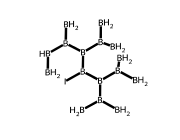 BBB(B)B(B(B)B)B(I)B(B(B)B)B(B)B